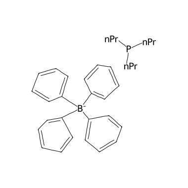 CCCP(CCC)CCC.c1ccc([B-](c2ccccc2)(c2ccccc2)c2ccccc2)cc1